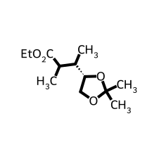 CCOC(=O)C(C)C(C)[C@H]1COC(C)(C)O1